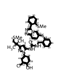 CSCC(C)(C)c1cc(NC(=O)NCc2ccccc2Sc2ccc3nnc(-c4ccccc4SC)n3c2)n(-c2ccc(O)c(Cl)c2)n1